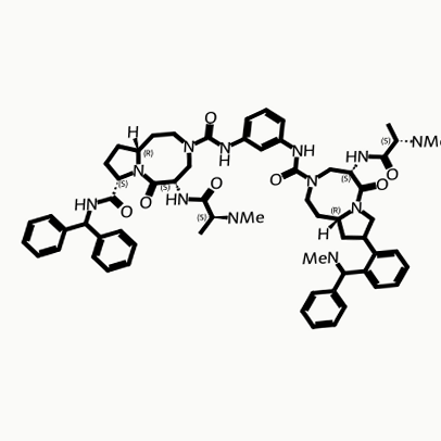 CNC(c1ccccc1)c1ccccc1C1C[C@@H]2CCN(C(=O)Nc3cccc(NC(=O)N4CC[C@H]5CC[C@@H](C(=O)NC(c6ccccc6)c6ccccc6)N5C(=O)[C@@H](NC(=O)[C@H](C)NC)C4)c3)C[C@H](NC(=O)[C@H](C)NC)C(=O)N2C1